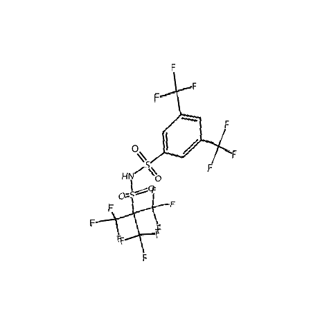 O=S(=O)(NS(=O)(=O)C(C(F)(F)F)(C(F)(F)F)C(F)(F)F)c1cc(C(F)(F)F)cc(C(F)(F)F)c1